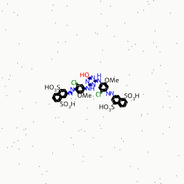 COc1cc(/N=N/c2cc(S(=O)(=O)O)c3cccc(S(=O)(=O)O)c3c2)c(Cl)cc1Nc1nc(O)nc(Nc2cc(Cl)c(/N=N/c3cc(S(=O)(=O)O)c4cccc(S(=O)(=O)O)c4c3)cc2OC)n1